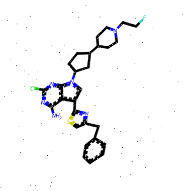 Nc1nc(Cl)nc2c1c(-c1nc(Cc3ccccc3)cs1)cn2C1CCC(C2CCN(CCF)CC2)C1